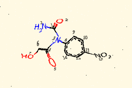 NC(=O)N(C(=O)CO)c1ccc([N+](=O)[O-])cc1